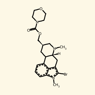 CN1C[C@H](COC(=O)N2CCOCC2)CC2c3cccc4c3c(c(Br)n4C)C[C@H]21